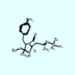 CCSC1(C(=O)O)S[C@@H]2[C@@H]([C@@H](C)O[Si](C)(C)C(C)(C)C)C(=O)N2C1Cc1ccc([N+](=O)[O-])cc1